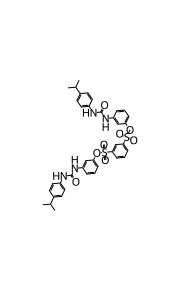 CC(C)c1ccc(NC(=O)Nc2cccc(OS(=O)(=O)c3cccc(S(=O)(=O)Oc4cccc(NC(=O)Nc5ccc(C(C)C)cc5)c4)c3)c2)cc1